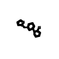 Clc1ccccc1-c1c[c]cc(Cn2cccn2)c1